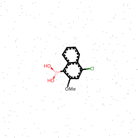 COc1cc(Cl)c2ccccc2c1B(O)O